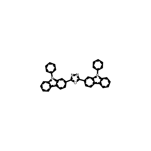 c1ccc(-n2c3ccccc3c3ccc(-c4nnc(-c5ccc6c7ccccc7n(-c7ccccc7)c6c5)o4)cc32)cc1